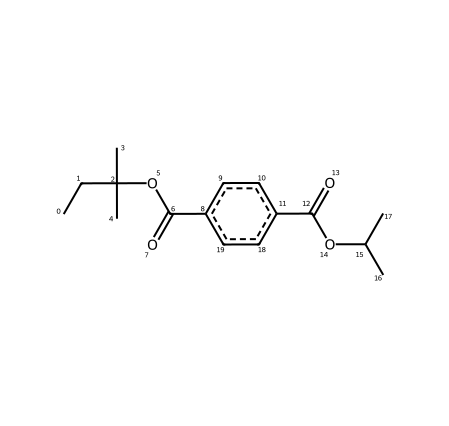 CCC(C)(C)OC(=O)c1ccc(C(=O)OC(C)C)cc1